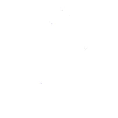 COc1cc2c(=O)[nH]cnc2cc1OCCCN1CCS(=O)(=O)CC1